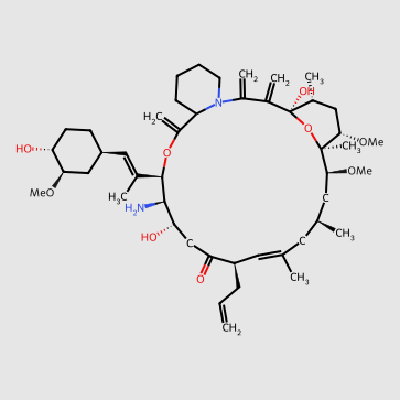 C=CC[C@@H]1/C=C(\C)C[C@H](C)C[C@H](OC)[C@@]2(C)O[C@@](O)(C(=C)C(=C)N3CCCCC3C(=C)O[C@H](/C(C)=C/[C@@H]3CC[C@@H](O)[C@H](OC)C3)[C@H](N)[C@@H](O)CC1=O)[C@H](C)C[C@@H]2OC